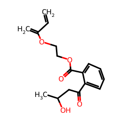 C=CC(=C)OCCOC(=O)c1ccccc1C(=O)CC(C)O